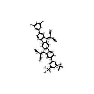 Cc1cc(C)cc(-c2ccc3c(c2)C(=C(C#N)C#N)c2cc4c(cc2-3)C(=C(C#N)C#N)c2cc(-c3cc(C(F)(F)F)cc(C(F)(F)F)c3)ccc2-4)c1